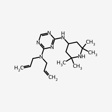 C=CCN(CC=C)c1ncnc(NC2CC(C)(C)NC(C)(C)C2)n1